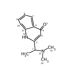 CC(c1cc(=O)c2ccccc2[nH]1)N(C)C